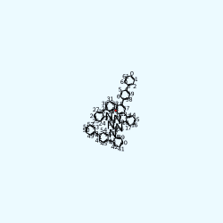 c1ccc(-c2ccc(-c3cccc(-c4ccccc4-c4nc(-n5c6ccccc6c6ccccc65)nc(-n5c6ccccc6c6ccc(-c7ccccc7)cc65)n4)c3)cc2)cc1